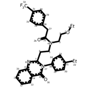 CCOCCN(CCc1nc2ccccc2c(=O)n1-c1ccc(CC)cc1)C(=O)Cc1ccc(C(F)(F)F)cc1